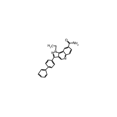 CCn1nc(-c2ccc(-c3ccccc3)cc2)c2cnc3ccc(C(N)=O)cc3c21